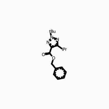 CC(C)c1nn(C(C)(C)C)nc1C(=O)OCc1ccccc1